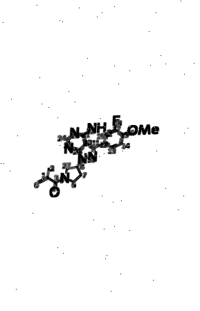 C=C(C)C(=O)N1CCC(n2nc(-c3ccc(OC)c(F)c3)c3c(N)ncnc32)C1